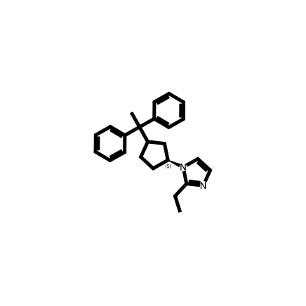 CCc1nccn1[C@H]1CCC(C(C)(c2ccccc2)c2ccccc2)C1